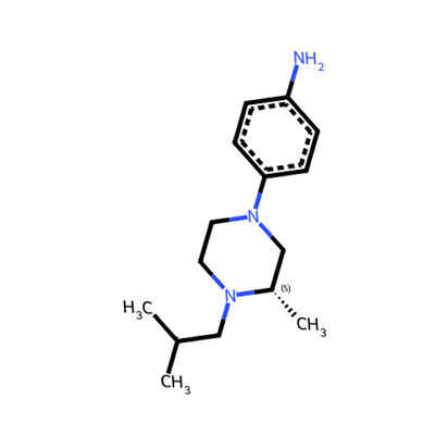 C[C](C)CN1CCN(c2ccc(N)cc2)C[C@@H]1C